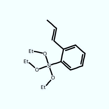 CC=Cc1ccccc1[Si](OCC)(OCC)OCC